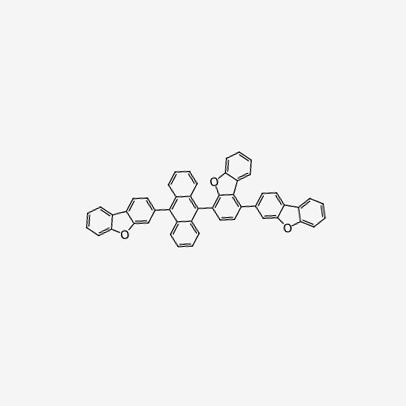 c1ccc2c(c1)oc1cc(-c3c4ccccc4c(-c4ccc(-c5ccc6c(c5)oc5ccccc56)c5c4oc4ccccc45)c4ccccc34)ccc12